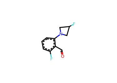 O=Cc1c(F)cccc1N1CC(F)C1